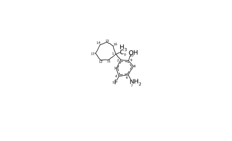 CC1(c2cc(F)c(N)cc2O)CCCCCC1